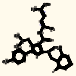 CCOC(=O)N(Cc1c(F)cccc1F)c1sc(-c2ccc([N+](=O)[O-])cc2)c(CN(C)C)c1C(=O)N/C(N)=C/C=C(\N)OC